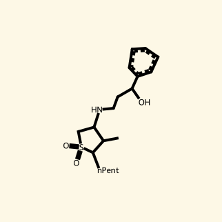 CCCCCC1C(C)C(NCCC(O)c2ccccc2)CS1(=O)=O